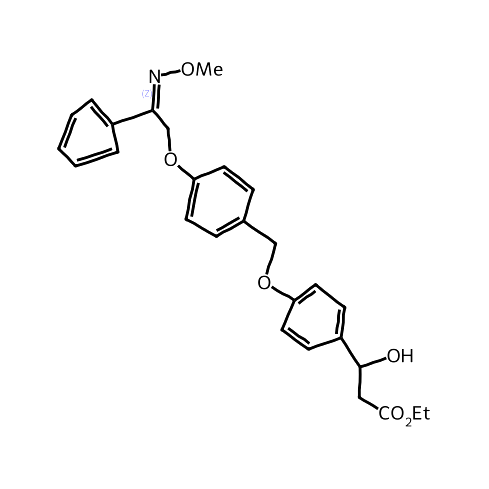 CCOC(=O)CC(O)c1ccc(OCc2ccc(OC/C(=N\OC)c3ccccc3)cc2)cc1